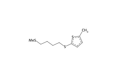 CSCCCCSc1ccc(C)s1